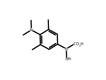 CCCN(C(=O)O)c1cc(C)c(N(C)C)c(C)c1